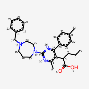 CCCC(C(=O)O)c1c(C)nc(N2CCCN(Cc3ccccc3)CC2)nc1-c1ccc(C)cc1